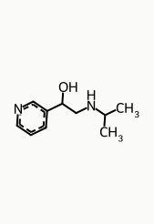 CC(C)NCC(O)c1cccnc1